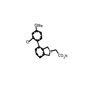 COc1ccc(-c2cccc3c2CN(CC(=O)O)C3)c(Cl)c1